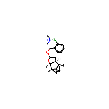 CC(C)NC[C@@H](O[C@H]1C[C@H]2[C@@H]3CC[C@](C)([C@H]2O1)C3(C)C)c1ccccc1Cl